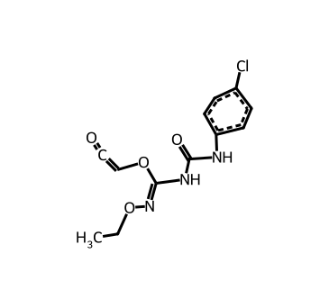 CCON=C(NC(=O)Nc1ccc(Cl)cc1)OC=C=O